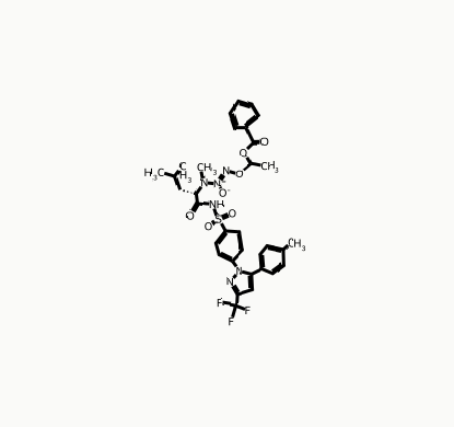 Cc1ccc(-c2cc(C(F)(F)F)nn2-c2ccc(S(=O)(=O)NC(=O)[C@H](CC(C)C)N(C)[N+]([O-])=NOC(C)OC(=O)c3ccccc3)cc2)cc1